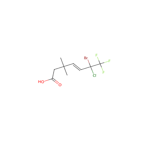 CC(C)(C=CC(Cl)(Br)C(F)(F)F)CC(=O)O